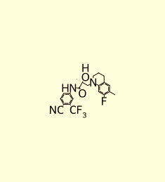 Cc1cc2c(cc1F)N(C[C@](C)(O)C(=O)Nc1ccc(C#N)c(C(F)(F)F)c1)CCC2